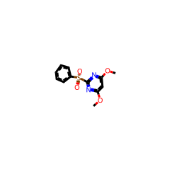 COc1cc(OC)nc(S(=O)(=O)c2ccccc2)n1